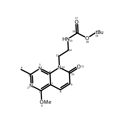 COc1nc(C)nc2c1ccc(=O)n2CCNC(=O)OC(C)(C)C